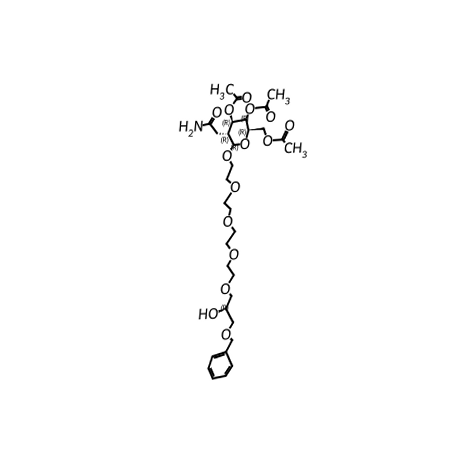 CC(=O)OC[C@H]1O[C@@H](OCCOCCOCCOCCOC[C@H](O)COCc2ccccc2)[C@H](CC(N)=O)[C@@H](OC(C)=O)[C@H]1OC(C)=O